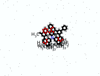 C\C=C(/C=C(\C(B1c2cc3c(cc2N2c4cc5c(cc4B(c4c(-c6ccccc6)cc(-c6ccccc6)cc4-c4ccccc4)c4cc(-c6ccccc6)cc1c42)C(C)(C)C(C)(C)C5(C)C)C(C)(C)C(C)(C)C3(C)C)=C1/C=CC=CC1C)c1ccccc1)c1ccccc1